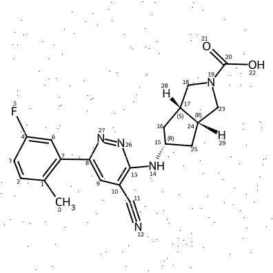 Cc1ccc(F)cc1-c1cc(C#N)c(N[C@@H]2C[C@@H]3CN(C(=O)O)C[C@@H]3C2)nn1